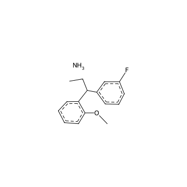 CCC(c1cccc(F)c1)c1ccccc1OC.N